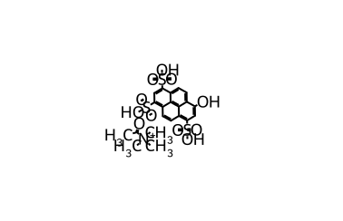 CC(=O)[N+](C)(C)C.O=S(=O)(O)c1cc(O)c2ccc3c(S(=O)(=O)O)cc(S(=O)(=O)O)c4ccc1c2c34